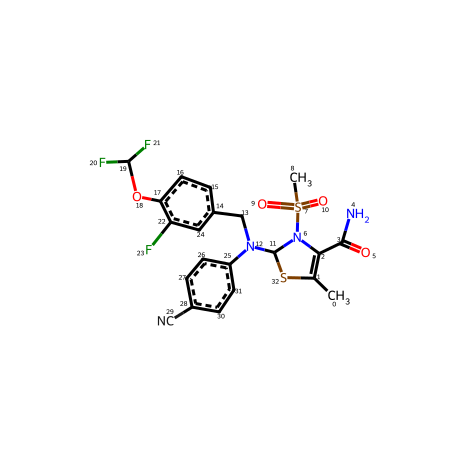 CC1=C(C(N)=O)N(S(C)(=O)=O)C(N(Cc2ccc(OC(F)F)c(F)c2)c2ccc(C#N)cc2)S1